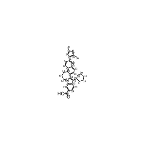 Cc1cc(-c2ccc3c4c(ccc3n2)-c2c(C3CCCCC3)c3ccc(C(=O)O)cc3n2CCC4)c(C)s1